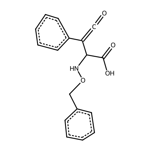 O=C=C(c1ccccc1)C(NOCc1ccccc1)C(=O)O